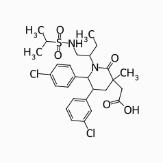 CCC(CNS(=O)(=O)C(C)C)N1C(=O)C(C)(CC(=O)O)CC(c2cccc(Cl)c2)C1c1ccc(Cl)cc1